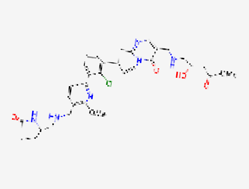 COC(=O)C[C@H](O)CNCc1cnc2cc(-c3cccc(-c4ccc(CNC[C@@H]5CCC(=O)N5)c(OC)n4)c3Cl)ccn2c1=O